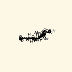 CC[C@H](C)[C@@H]([C@@H](CC(=O)N1CCC[C@H]1[C@H](OC)[C@@H](C)C(=O)N[C@@H](Cc1ccccc1)C(=O)O)OC)N(C)C(=O)[C@@H](Nc1nc(C)cc(C(=O)NCCNC(=O)CCCCCN2C(=O)C=CC2=O)n1)C(C)C